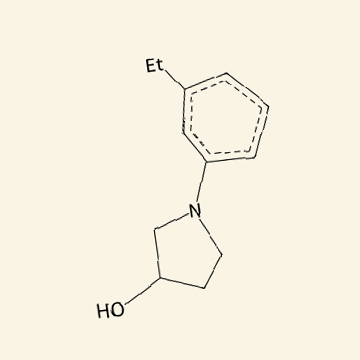 CCc1cccc(N2CCC(O)C2)c1